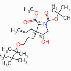 C=CC[C@]1(CCCO[Si](C)(C)C(C)(C)C)[C@H](O)CN(C(=O)OC(C)(C)C)[C@@H]1C(=O)OC